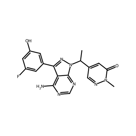 CC(c1cnn(C)c(=O)c1)n1nc(-c2cc(O)cc(F)c2)c2c(N)ncnc21